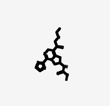 CCOCC(=O)C1=C2CC(NC(=O)OC)CN2C(c2nccs2)=NC1